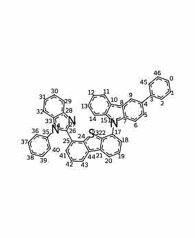 c1ccc(-c2ccc3c(c2)c2ccccc2n3-c2cccc3c2sc2c(-c4nc5ccccc5n4-c4ccccc4)cccc23)cc1